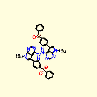 CC(C)(C)n1cc(-c2ccc([S+]([O-])c3ccccc3)cc2)c2c(NNc3ncnc4c3c(-c3ccc(S(=O)(=O)c5ccccc5)cc3)cn4C(C)(C)C)ncnc21